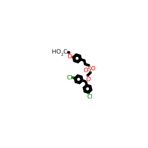 O=C(O)COc1ccc(CCCS(=O)(=O)CCOC(c2ccc(Cl)cc2)c2ccc(Cl)cc2)cc1